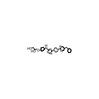 OC[C@@H](O)COc1ccc(Nc2ncnc(N3CCN(c4ncc(Cc5ccccc5)cn4)CC3)n2)cc1